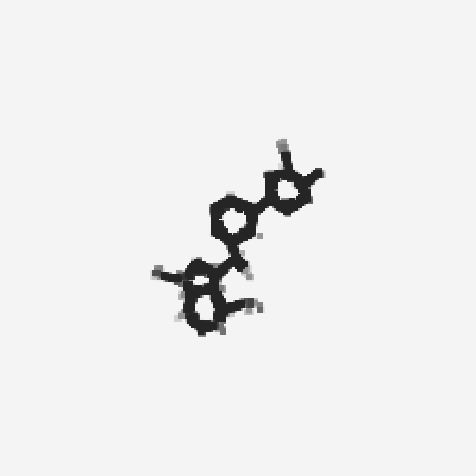 Cc1ccc(-c2cccc(C(=O)c3cn(C(C)C)c4ncnc(N)c34)c2)cc1F